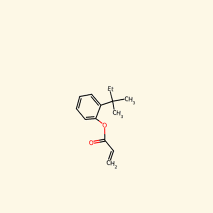 C=CC(=O)Oc1ccccc1C(C)(C)CC